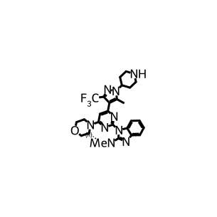 CNc1nc2ccccc2n1-c1nc(-c2c(C(F)(F)F)nn(C3CCNCC3)c2C)cc(N2CCOC[C@H]2C)n1